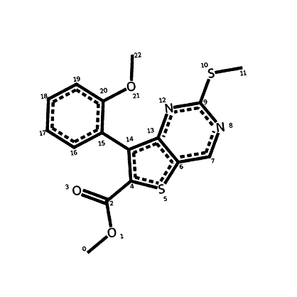 COC(=O)c1sc2cnc(SC)nc2c1-c1ccccc1OC